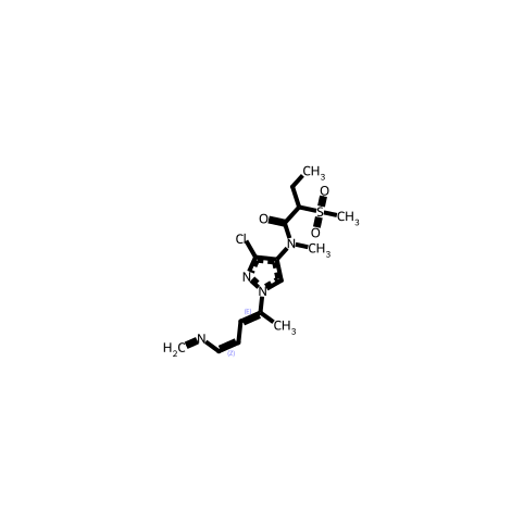 C=N/C=C\C=C(/C)n1cc(N(C)C(=O)C(CC)S(C)(=O)=O)c(Cl)n1